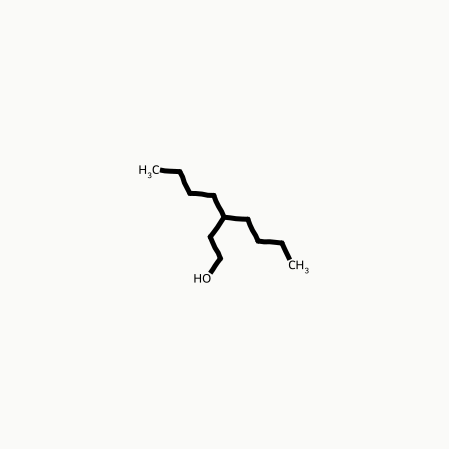 CCCCC(CCO)CCCC